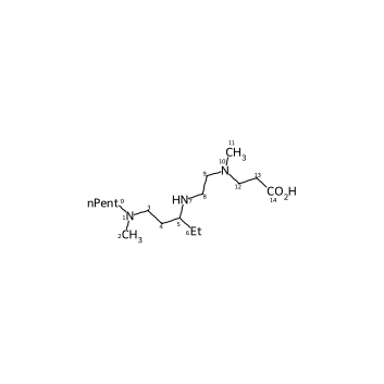 CCCCCN(C)CCC(CC)NCCN(C)CCC(=O)O